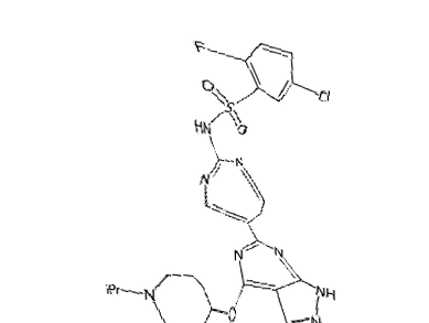 Cc1n[nH]c2nc(-c3cnc(NS(=O)(=O)c4cc(Cl)ccc4F)nc3)nc(OC3CCN(C(C)C)CC3)c12